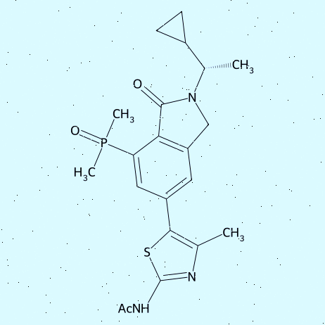 CC(=O)Nc1nc(C)c(-c2cc3c(c(P(C)(C)=O)c2)C(=O)N([C@@H](C)C2CC2)C3)s1